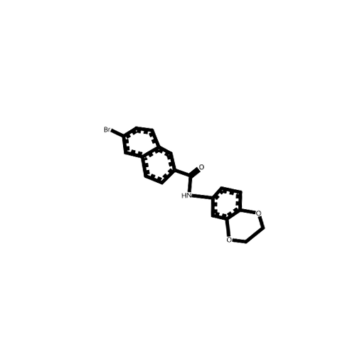 O=C(Nc1ccc2c(c1)OCCO2)c1ccc2cc(Br)ccc2c1